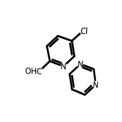 O=Cc1ccc(Cl)cn1.c1cncnc1